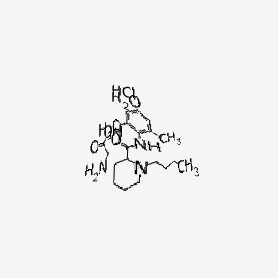 CCCCN1CCCCC1C(=O)Nc1c(C)cccc1C.Cl.NCC(=O)O.O